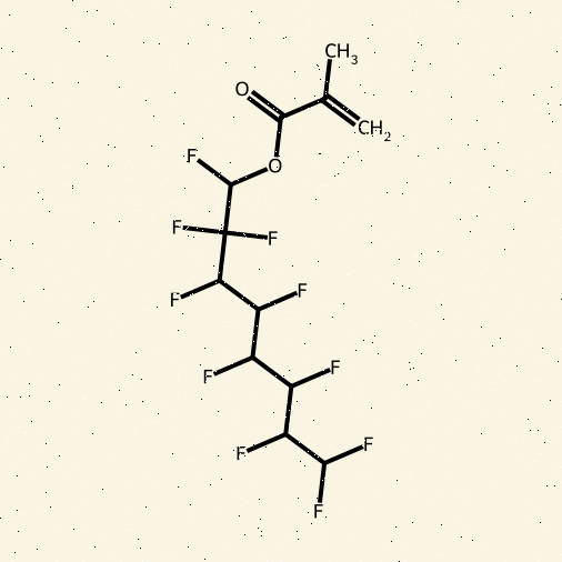 C=C(C)C(=O)OC(F)C(F)(F)C(F)C(F)C(F)C(F)C(F)C(F)F